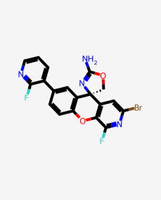 NC1=N[C@]2(CO1)c1cc(-c3cccnc3F)ccc1Oc1c2cc(Br)nc1F